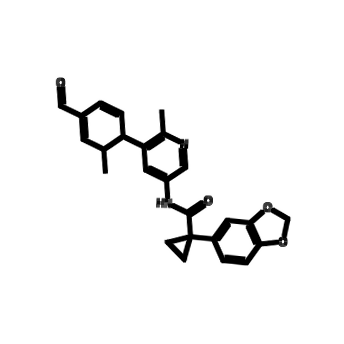 Cc1ncc(NC(=O)C2(c3ccc4c(c3)OCO4)CC2)cc1C1C=CC(C=O)=CC1C